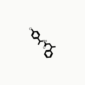 CC(CC(=O)NC(C)c1ccc(Cl)cc1)c1ccccc1